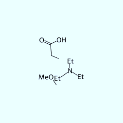 CCC(=O)O.CCN(CC)CC.COC